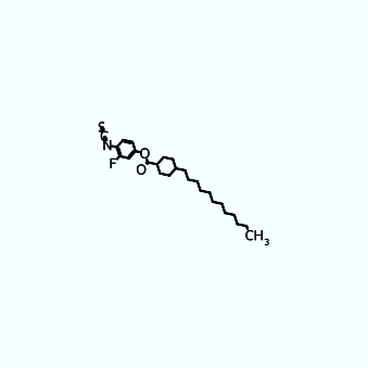 CCCCCCCCCCCCC1CCC(C(=O)Oc2ccc(N=C=S)c(F)c2)CC1